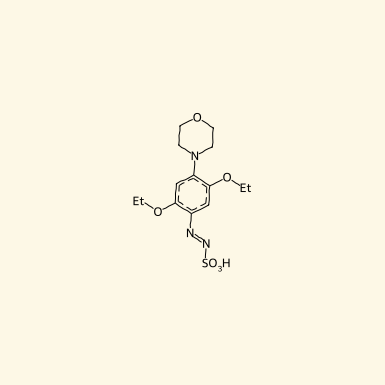 CCOc1cc(N2CCOCC2)c(OCC)cc1N=NS(=O)(=O)O